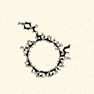 C/C=C/C[C@@H](C)[C@@H](OC(C)=O)[C@H]1C(=O)N[C@@H](CC)C(=O)N(C)[C@H](C)C(=O)N(C)[C@@H]([C@H](C)COCC(=O)N2CCN(C(C)C)CC2)C(=O)N[C@@H](C(C)C)C(=O)N(C)[C@@H](CC(C)C)C(=O)N[C@@H](C)C(=O)N[C@H](C)C(=O)N(C)[C@@H](CC(C)C)C(=O)N(C)[C@@H](CC(C)C)C(=O)N(C)[C@@H](C(C)C)C(=O)N1C